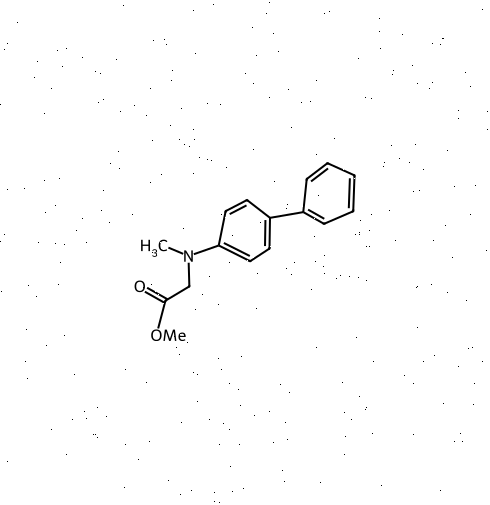 COC(=O)CN(C)c1ccc(-c2ccccc2)cc1